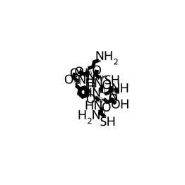 NCCCC[C@@H](NC(=O)[C@H](CS)NC(=O)[C@H](Cc1c[nH]cn1)NC(=O)[C@H](CCC(=O)O)NC(=O)[C@@H](N)CS)C(=O)N[C@@H](Cc1ccccc1)C(=O)O